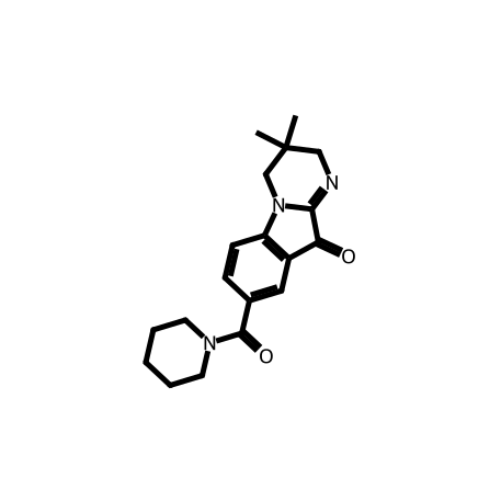 CC1(C)CN=C2C(=O)c3cc(C(=O)N4CCCCC4)ccc3N2C1